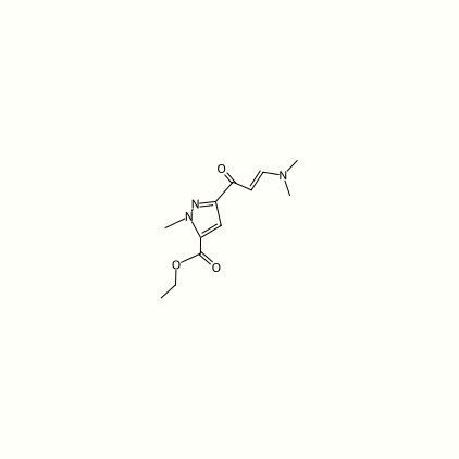 CCOC(=O)c1cc(C(=O)/C=C/N(C)C)nn1C